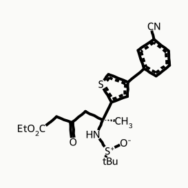 CCOC(=O)CC(=O)C[C@](C)(N[S+]([O-])C(C)(C)C)c1cc(-c2cccc(C#N)c2)cs1